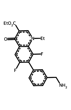 CCOC(=O)c1cn(CC)c2c(F)c(-c3cccc(CN)c3)c(F)cc2c1=O